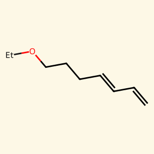 C=C/C=C/CCCOCC